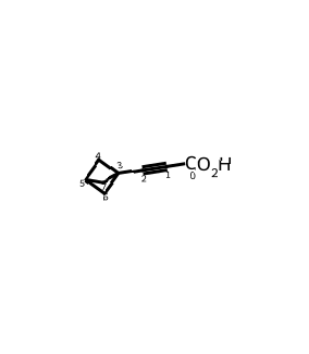 O=C(O)C#CC12CC(C1)C2